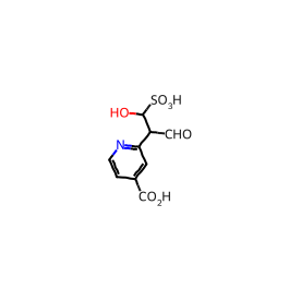 O=CC(c1cc(C(=O)O)ccn1)C(O)S(=O)(=O)O